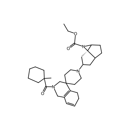 CCOC(=O)N1C2CCC3CC(N4CCC5(CC4)CN(C(=O)C4(C)CCCCC4)CC4=C5CCC=C4)C[C@@]321